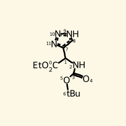 CCOC(=O)C(NC(=O)OC(C)(C)C)c1c[nH]nn1